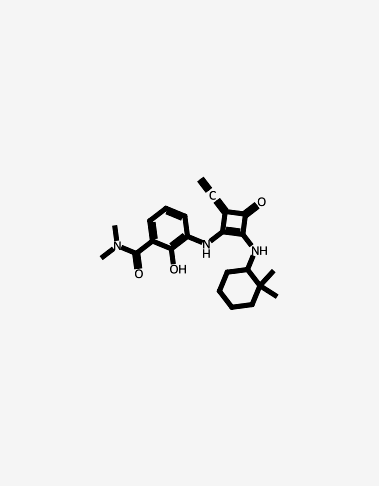 C=C=C1C(=O)C(NC2CCCCC2(C)C)=C1Nc1cccc(C(=O)N(C)C)c1O